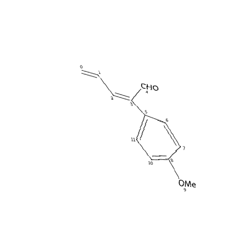 C=CC=C(C=O)c1ccc(OC)cc1